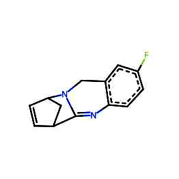 Fc1ccc2c(c1)CN1C(=N2)C2C=CC1C2